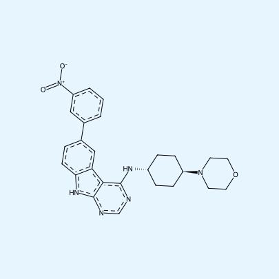 O=[N+]([O-])c1cccc(-c2ccc3[nH]c4ncnc(N[C@H]5CC[C@H](N6CCOCC6)CC5)c4c3c2)c1